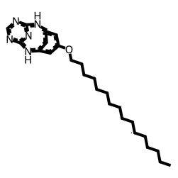 CCCCC[CH]CCCCCCCCCCOc1cc2cc(c1)[nH]c1ncnc(n1)[nH]2